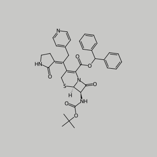 CC(C)(C)OC(=O)N[C@@H]1C(=O)N2C(C(=O)OC(c3ccccc3)c3ccccc3)=C(C(Cc3ccncc3)=C3CCNC3=O)CS[C@H]12